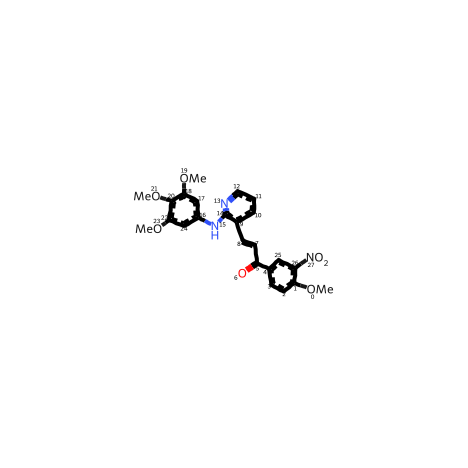 COc1ccc(C(=O)C=Cc2cccnc2Nc2cc(OC)c(OC)c(OC)c2)cc1[N+](=O)[O-]